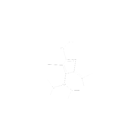 CC(C)=C1C=C(NC(C)(C)C)C(C)=[C]1[Mo]([N](C)C)[N](C)C